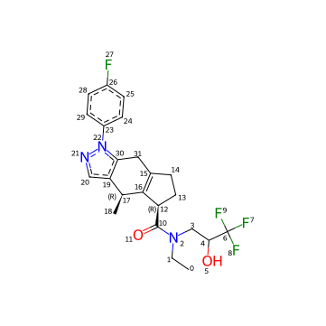 CCN(CC(O)C(F)(F)F)C(=O)[C@@H]1CCC2=C1[C@@H](C)c1cnn(-c3ccc(F)cc3)c1C2